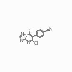 N#Cc1ccc(-c2c(Cl)nc3ncnn3c2Cl)cc1